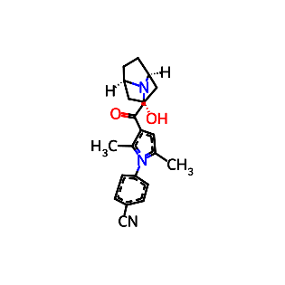 Cc1cc(C(=O)CN2[C@@H]3CC[C@H]2C[C@H](O)C3)c(C)n1-c1ccc(C#N)cc1